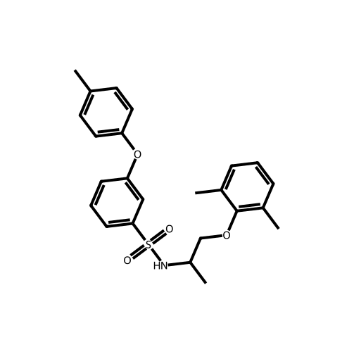 Cc1ccc(Oc2cccc(S(=O)(=O)NC(C)COc3c(C)cccc3C)c2)cc1